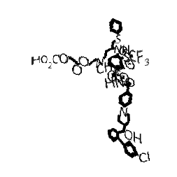 CN(CCOC(=O)COCC(=O)O)CCC(CSc1ccccc1)Nc1ccc(S(=O)(=O)NC(=O)c2ccc(N3CCC(C(O)c4ccccc4-c4ccc(Cl)cc4)CC3)cc2)cc1S(=O)(=O)C(F)(F)F